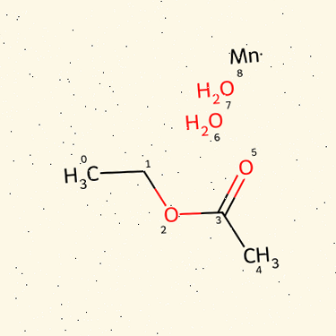 CCOC(C)=O.O.O.[Mn]